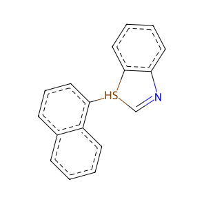 C1=Nc2ccccc2[SH]1c1cccc2ccccc12